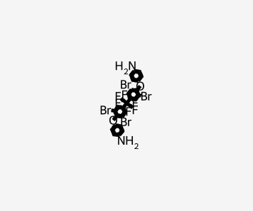 Nc1ccc(Oc2c(Br)cc(C(c3cc(Br)c(Oc4ccc(N)cc4)c(Br)c3)(C(F)(F)F)C(F)(F)F)cc2Br)cc1